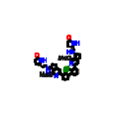 COc1nc(-c2cccc(-c3cccc(-c4cc5c(c(OC)n4)[C@@H](NC[C@@H]4CCC(=O)N4)CC5)c3Cl)c2Cl)cc2c1[C@@H](NCC[C@@H]1CCC(=O)N1)CC2